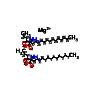 CCCCCCCCCCCCCCC(N)(C(=O)[O-])C(=O)CCC.CCCCCCCCCCCCCCC(N)(C(=O)[O-])C(=O)CCC.[Mg+2]